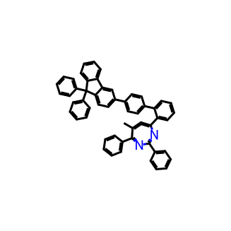 CC1=C=C(c2ccccc2-c2ccc(-c3ccc4c(c3)-c3ccccc3C4(c3ccccc3)c3ccccc3)cc2)N=C(c2ccccc2)N=C1c1ccccc1